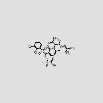 Cc1ccc(NS(=O)(=O)c2cccc(Cl)c2Cl)c(=O)n1C(C(N)=O)C(C)ON=C(N)N.O=C(O)C(F)(F)F